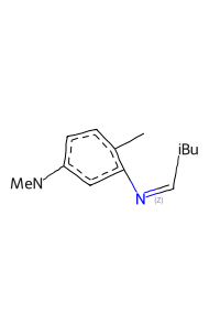 CCC(C)/C=N\c1cc(NC)ccc1C